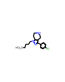 O=C(O)CCCCn1nc(-c2ccc(Cl)cc2)c2c1CCNCC2